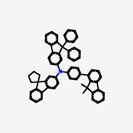 CC1(C)c2ccccc2-c2cccc(-c3ccc(N(c4ccc5c(c4)C4(CCCC4)c4ccccc4-5)c4ccc5c(c4)C(c4ccccc4)(c4ccccc4)c4ccccc4-5)cc3)c21